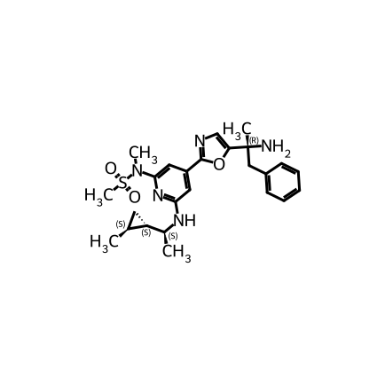 C[C@H](Nc1cc(-c2ncc([C@](C)(N)Cc3ccccc3)o2)cc(N(C)S(C)(=O)=O)n1)[C@H]1C[C@@H]1C